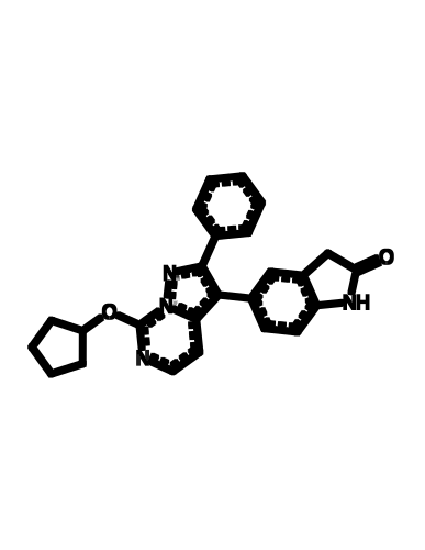 O=C1Cc2cc(-c3c(-c4ccccc4)nn4c(OC5CCCC5)nccc34)ccc2N1